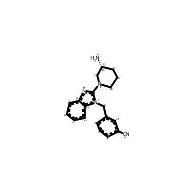 N#Cc1cccc(Cn2c(N3CCC[C@@H](N)C3)nc3ccccc32)c1